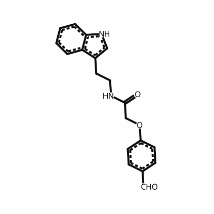 O=Cc1ccc(OCC(=O)NCCc2c[nH]c3ccccc23)cc1